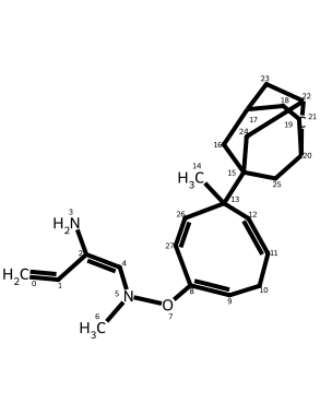 C=C/C(N)=C\N(C)OC1=C/C/C=C\C(C)(C23CC4CCC(CC(C4)C2)C3)/C=C\1